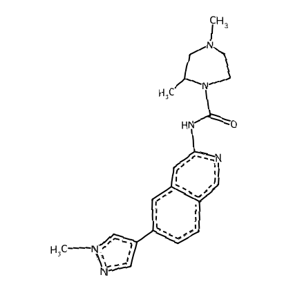 CC1CN(C)CCN1C(=O)Nc1cc2cc(-c3cnn(C)c3)ccc2cn1